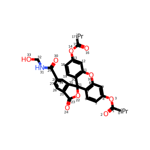 CC(C)C(=O)Oc1ccc2c(c1)Oc1cc(OC(=O)C(C)C)ccc1C21OC(=O)c2ccc(C(=O)NCO)cc21